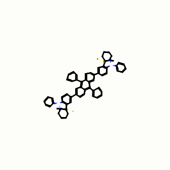 CSC12CCCCC1(C)N(c1ccccc1)c1ccc(-c3ccc4c(-c5ccccc5)c5cc(-c6ccc7c(c6)C6(SC)CCCCC6(C)N7c6ccccc6)ccc5c(-c5ccccc5)c4c3)cc12